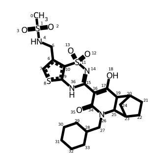 CS(=O)(=O)NCc1csc2c1S(=O)(=O)N=C(C1=C(O)C3C4CCC(C4)C3N(CC3CCCCC3)C1=O)N2